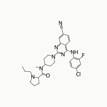 CCCN1CCCC1C(=O)N(C)C1CCN(c2nc(Nc3ccc(Cl)cc3F)c3ccc(C#N)cc3n2)CC1